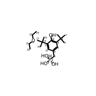 CC(C)(C)c1cc(C[PH](O)(O)O)cc(C(C)(C)C)c1O.CCOCC